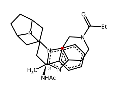 CCC(=O)N1CCc2nc(C)n(C3CC4CCC(C3)N4CC[C@H](NC(C)=O)c3ccccc3)c2C1